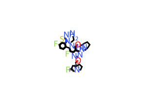 N#CCCn1c(-c2ccc(F)c3sc(N)nc23)c(F)c2nc(OC[C@@]34CCCN3C[C@H](F)C4)nc(N3CC4CCC(C3)N4)c2c1=O